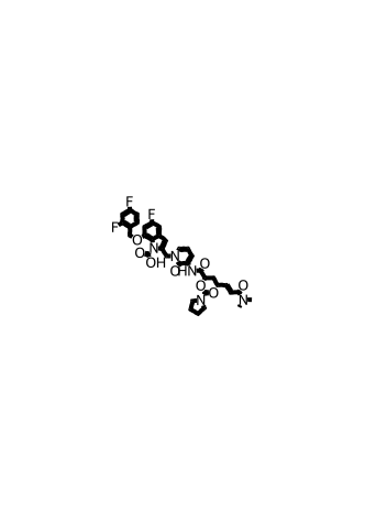 CN(C)C(=O)C=CCCC(OC(=O)N1CCCC1)C(=O)Nc1cccn(Cc2cc3cc(F)cc(OCc4ccc(F)cc4F)c3n2C(=O)O)c1=O